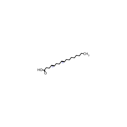 CCCCCCCC/C=C/CC/C=C/CCC(=O)O